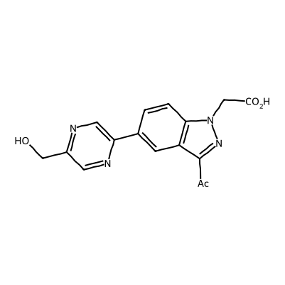 CC(=O)c1nn(CC(=O)O)c2ccc(-c3cnc(CO)cn3)cc12